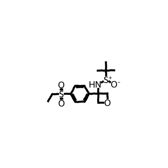 CCS(=O)(=O)c1ccc(C2(N[S+]([O-])C(C)(C)C)COC2)cc1